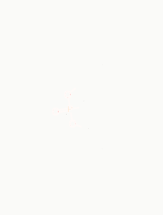 C=CCOP(=O)(C#CC)OC#CC